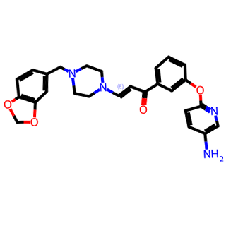 Nc1ccc(Oc2cccc(C(=O)/C=C/N3CCN(Cc4ccc5c(c4)OCO5)CC3)c2)nc1